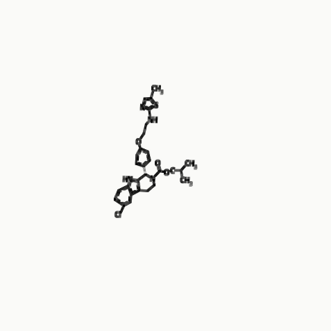 Cc1cnc(NCCOc2ccc([C@H]3c4[nH]c5ccc(Cl)cc5c4CCN3C(=O)OCC(C)C)cc2)s1